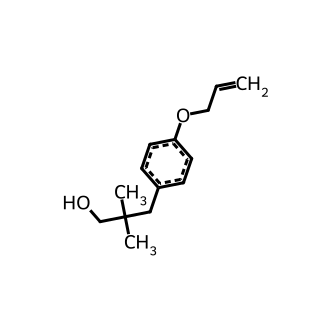 C=CCOc1ccc(CC(C)(C)CO)cc1